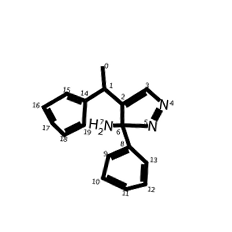 CC(C1=CN=NC1(N)c1ccccc1)c1ccccc1